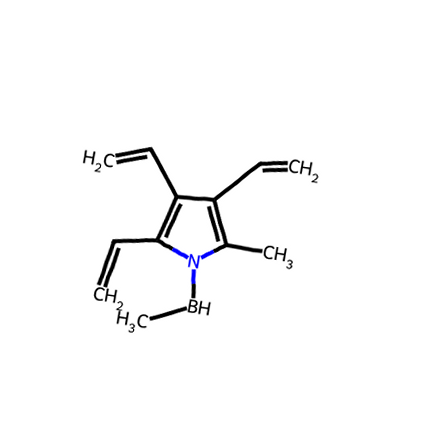 C=Cc1c(C=C)c(C=C)n(BC)c1C